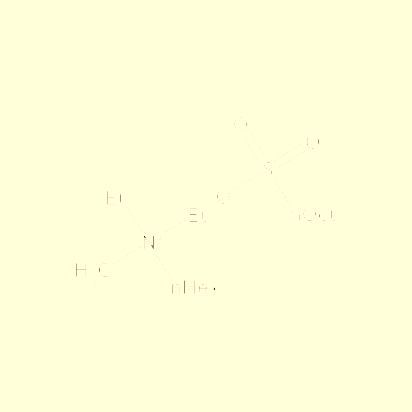 CCCCCCCCS(=O)(=O)[O-].CCCCCC[N+](C)(CC)CC